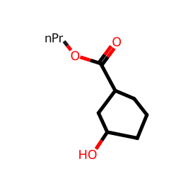 CCCOC(=O)C1CCCC(O)C1